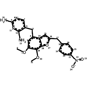 COc1cc(Cc2cnc(N)nc2N)c2cc(Cc3ccc([N+](=O)[O-])cc3)oc2c1OC